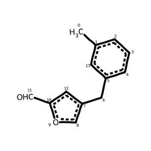 Cc1cccc(Cc2coc(C=O)c2)c1